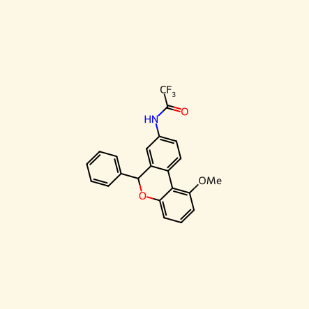 COc1cccc2c1-c1ccc(NC(=O)C(F)(F)F)cc1C(c1ccccc1)O2